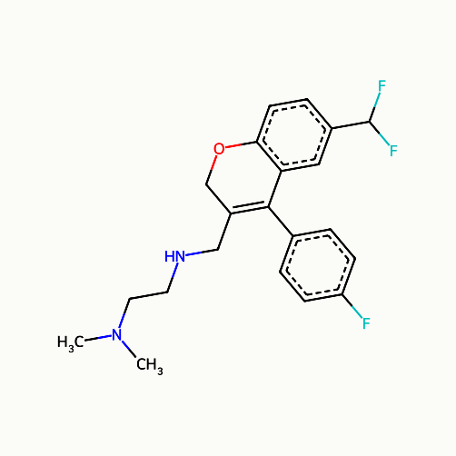 CN(C)CCNCC1=C(c2ccc(F)cc2)c2cc(C(F)F)ccc2OC1